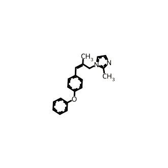 CC(=Cc1ccc(Oc2ccccc2)cc1)Cn1ccnc1C